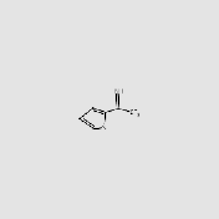 N=C(c1cccs1)C(F)(F)F